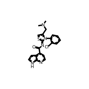 CN(C)Cc1cs/c(=N\C(=O)c2ccnc3[nH]ccc23)n1-c1ccccc1Cl